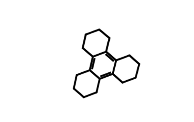 C1CCc2c(c3c(c4c2CCCC4)CCCC3)C1